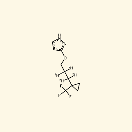 [2H]C([2H])(COc1cc[nH]n1)C([2H])([2H])C1(C(F)(F)F)CC1